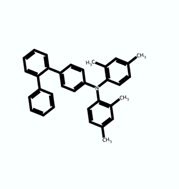 Cc1ccc(N(c2ccc(-c3ccccc3-c3ccccc3)cc2)c2ccc(C)cc2C)c(C)c1